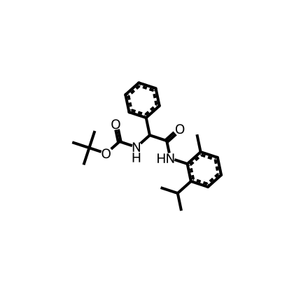 Cc1cccc(C(C)C)c1NC(=O)C(NC(=O)OC(C)(C)C)c1ccccc1